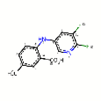 Cc1ccc(Nc2cnc(F)c(F)c2)c(C(=O)O)c1